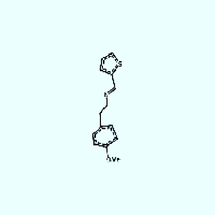 COc1ccc(CCN=Cc2cccs2)cc1